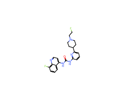 O=C(Nc1cccc(C2CCN(CCF)CC2)n1)Nc1ccnc2c(F)cccc12